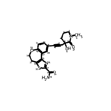 CN1CCCC(O)(C#Cc2ccc3c(c2)-c2nc(C(N)=O)sc2CCO3)C1=O